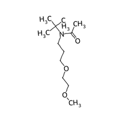 COCCOCCCN(C(C)=O)C(C)(C)C